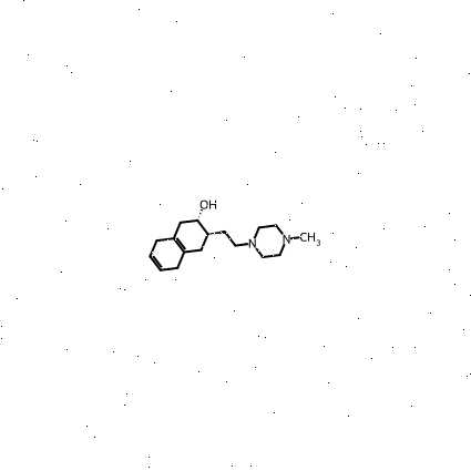 CN1CCN(CC[C@H]2CC3=C(CC=CC3)C[C@@H]2O)CC1